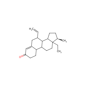 C=CC1CC2=CC(=O)CCC2C2CCC3(CC)C(CC[C@H]3C)C12